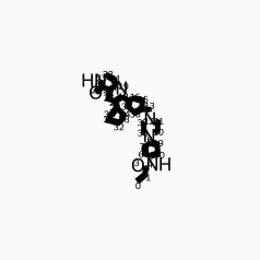 C=CC(=O)Nc1ccc(N2CCN(Cc3ccc(-c4nc5cc[nH]c(=O)c5cc4-c4ccccc4)cc3)CC2)cc1